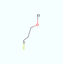 CCOCCC=S